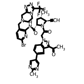 C#C[C@@H]1[C@@H](C)C[C@@H](C(=O)Nc2nc(Br)ccc2CN2CCn3c(nnc3C(F)(F)F)C2)N1C(=O)Cn1nc(C(C)=O)c2cc(-c3cnc(C)nc3)ccc21